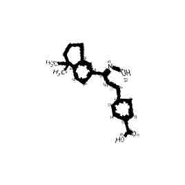 CC1(C)CCCc2cc(C(/C=C/c3ccc(C(=O)O)cc3)=NO)ccc21